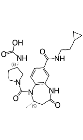 C[C@H]1CC(=O)Nc2cc(C(=O)NCCC3CC3)ccc2N1C(=O)N1CC[C@H](NC(=O)O)C1